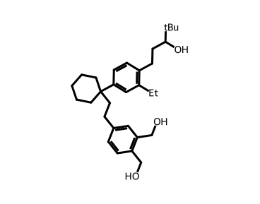 CCc1cc(C2(CCc3ccc(CO)c(CO)c3)CCCCC2)ccc1CCC(O)C(C)(C)C